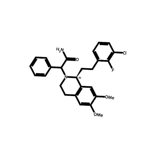 COc1cc2c(cc1OC)[C@H](CCc1cccc(Cl)c1F)N(C(C(N)=O)c1ccccc1)CC2